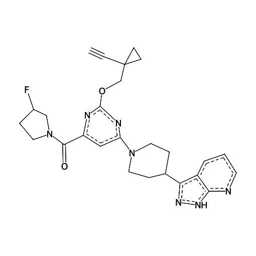 C#CC1(COc2nc(C(=O)N3CCC(F)C3)cc(N3CCC(c4n[nH]c5ncccc45)CC3)n2)CC1